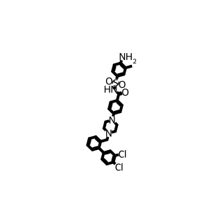 Cc1cc(S(=O)(=O)NC(=O)c2ccc(N3CCN(Cc4ccccc4-c4ccc(Cl)c(Cl)c4)CC3)cc2)ccc1N